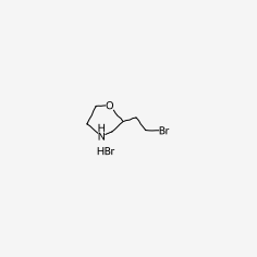 Br.BrCCC1CNCCO1